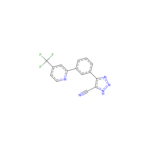 N#Cc1[nH]nnc1-c1cccc(-c2cc(C(F)(F)F)ccn2)c1